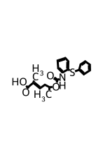 C/C(=C\CC(C)OC(=O)Nc1ccccc1Sc1ccccc1)C(=O)O